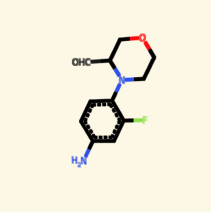 Nc1ccc(N2CCOCC2C=O)c(F)c1